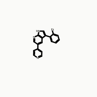 CCc1ccccc1-c1c[nH]c2ncc(-c3ccncc3)cc12